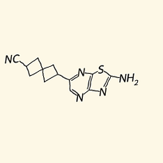 N#CC1CC2(C1)CC(c1cnc3nc(N)sc3n1)C2